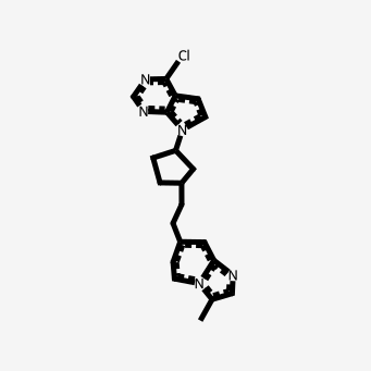 Cc1cnc2cc(CCC3CCC(n4ccc5c(Cl)ncnc54)C3)ccn12